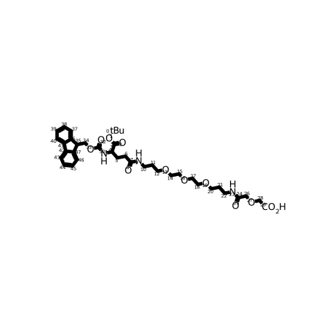 CC(C)(C)OC(=O)C(CCC(=O)NCCCOCCOCCOCCCNC(=O)COCC(=O)O)NC(=O)OCC1c2ccccc2-c2ccccc21